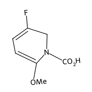 COC1=CC=C(F)CN1C(=O)O